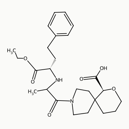 CCOC(=O)[C@H](CCc1ccccc1)NC(C)C(=O)N1CCC2(CCCO[C@@H]2C(=O)O)CC1